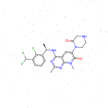 Cc1nc(N[C@H](C)c2cccc(C(F)F)c2F)c2cc(N3CCNCC3=O)c(=O)n(C)c2n1